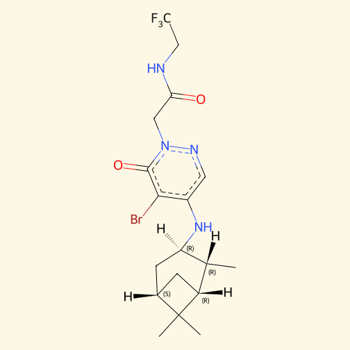 C[C@@H]1[C@H]2C[C@@H](C[C@H]1Nc1cnn(CC(=O)NCC(F)(F)F)c(=O)c1Br)C2(C)C